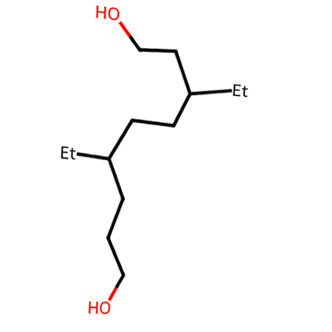 CCC(CCO)CCC(CC)CCCO